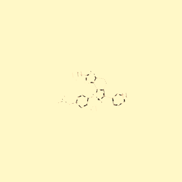 CN(C)Cc1ccc(-n2nc(-c3cccnc3)c3c2-c2sc(N)nc2CC3)c(Cl)c1